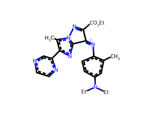 CCOC(=O)C1=Nn2c(nc(-c3cnccn3)c2C)/C1=N\c1ccc(N(CC)CC)cc1C